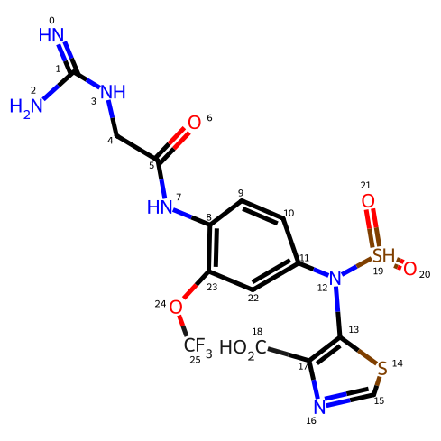 N=C(N)NCC(=O)Nc1ccc(N(c2scnc2C(=O)O)[SH](=O)=O)cc1OC(F)(F)F